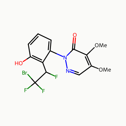 COc1cnn(-c2cccc(O)c2C(F)C(F)(F)Br)c(=O)c1OC